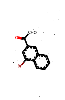 O=CC(=O)c1cc(Br)c2ccccc2c1